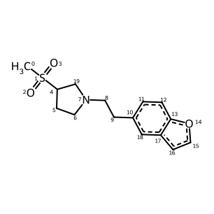 CS(=O)(=O)C1CCN(CCc2ccc3occc3c2)C1